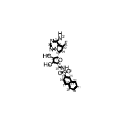 Nc1ncnn2c([C@@H]3O[C@H](CNS(=O)(=O)c4ccc5ccccc5c4)[C@@H](O)[C@H]3O)cc(F)c12